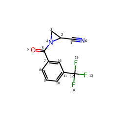 N#CC1CN1C(=O)c1cccc(C(F)(F)F)c1